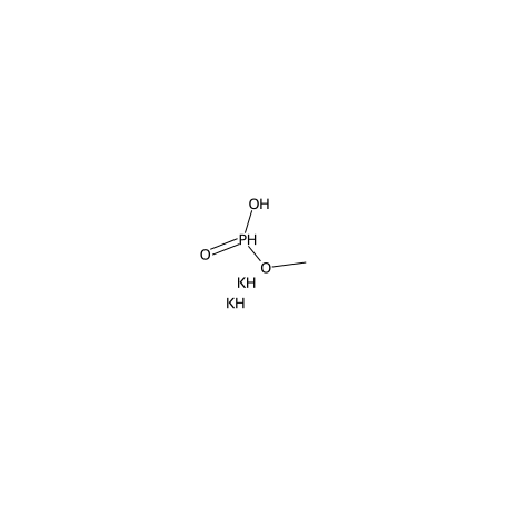 CO[PH](=O)O.[KH].[KH]